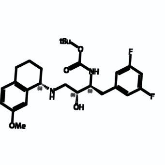 COc1ccc2c(c1)[C@@H](NC[C@@H](O)[C@H](Cc1cc(F)cc(F)c1)NC(=O)OC(C)(C)C)CCC2